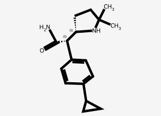 CC1(C)CC[C@@H]([C@@H](C(N)=O)c2ccc(C3CC3)cc2)N1